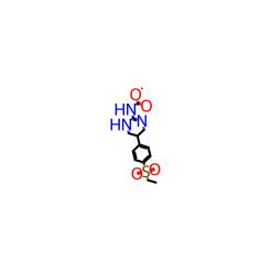 CCS(=O)(=O)c1ccc(C2CN=C(NC(=O)OC)NC2)cc1